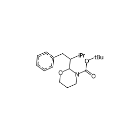 CC(C)C(Cc1ccccc1)C1OCCCN1C(=O)OC(C)(C)C